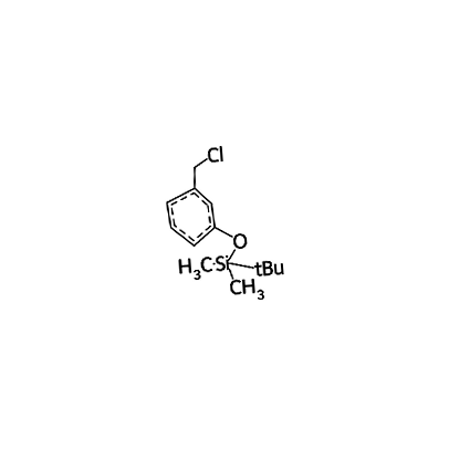 CC(C)(C)[Si](C)(C)Oc1cccc(CCl)c1